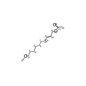 COCCCCCCSC=CCOC(C)=O